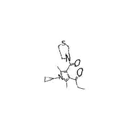 CCC(=O)c1c(C(=O)N2CCSC2)c(C)n(C2CC2)c1C